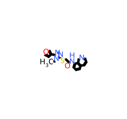 CCn1c(SCC(=O)Nc2cccc3c2CN=CC=C3)nnc1-c1ccoc1